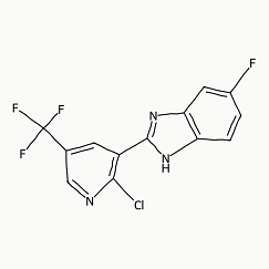 Fc1ccc2[nH]c(-c3cc(C(F)(F)F)cnc3Cl)nc2c1